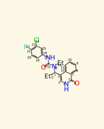 CC[C@H](c1c[nH]c(=O)c2ccccc12)N(CC)C(=O)Nc1ccc(F)c(Cl)c1